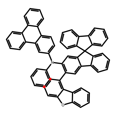 c1ccc(N(c2ccc3c4ccccc4c4ccccc4c3c2)c2cc3c(cc2-c2cccc4oc5ccccc5c24)-c2ccccc2C32c3ccccc3-c3ccccc32)cc1